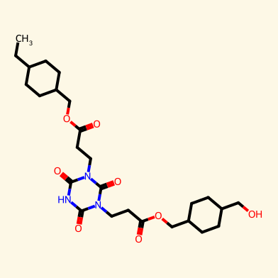 CCC1CCC(COC(=O)CCn2c(=O)[nH]c(=O)n(CCC(=O)OCC3CCC(CO)CC3)c2=O)CC1